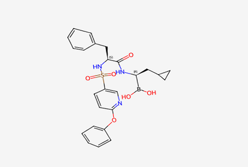 O=C(N[C@@H](CC1CC1)B(O)O)[C@H](Cc1ccccc1)NS(=O)(=O)c1ccc(Oc2ccccc2)nc1